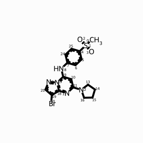 CS(=O)(=O)c1ccc(Nc2cc(N3CCCC3)nc3c(Br)cnn23)cc1